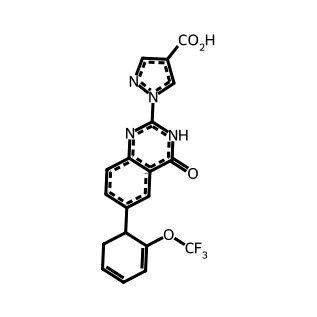 O=C(O)c1cnn(-c2nc3ccc(C4CC=CC=C4OC(F)(F)F)cc3c(=O)[nH]2)c1